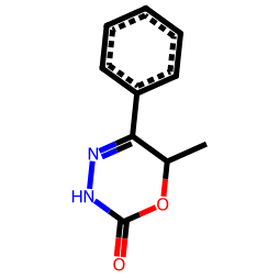 CC1OC(=O)NN=C1c1ccccc1